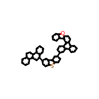 c1ccc2c(c1)ccc1c3ccccc3c(-c3ccc4sc5ccc(-c6ccc7c(c6)c6ccccc6c6ccc8oc9ccccc9c8c67)cc5c4c3)cc21